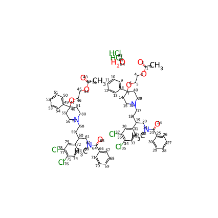 CC(=O)OCCOC1(c2ccccc2)CCN(CCC(CN(C)C(=O)c2ccccc2)c2ccc(Cl)c(Cl)c2)CC1.CC(=O)OCCOC1(c2ccccc2)CCN(CCC(CN(C)C(=O)c2ccccc2)c2ccc(Cl)c(Cl)c2)CC1.Cl.Cl.O